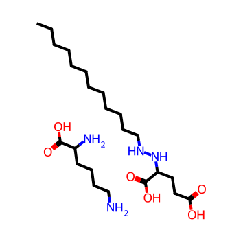 CCCCCCCCCCCCNNC(CCC(=O)O)C(=O)O.NCCCCC(N)C(=O)O